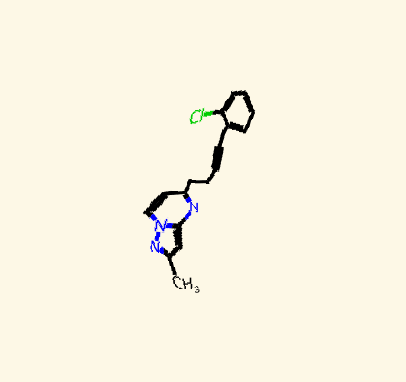 Cc1cc2nc(CCC#Cc3ccccc3Cl)ccn2n1